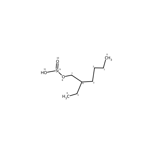 CCCCC(CC)CO[Si](=O)O